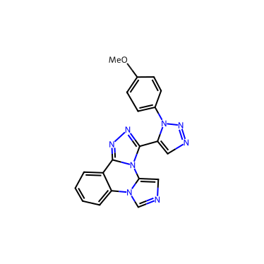 COc1ccc(-n2nncc2-c2nnc3c4ccccc4n4cncc4n23)cc1